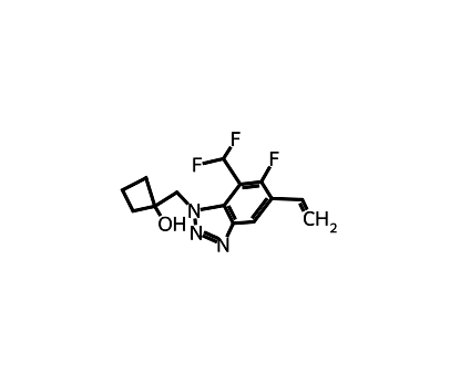 C=Cc1cc2nnn(CC3(O)CCC3)c2c(C(F)F)c1F